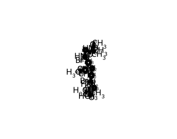 COC(=O)N[C@H](C(=O)N1CCC[C@H]1c1nc(-c2ccc([C@@H]3CC[C@@H](c4ccc(-c5nc([C@@H]6CCCN6C(=O)[C@H](C(C)C)N(C)C(=O)O)[nH]c5Br)cc4)N3c3ccc(C(C)(C)C)cc3)cc2)c(Br)[nH]1)C(C)C